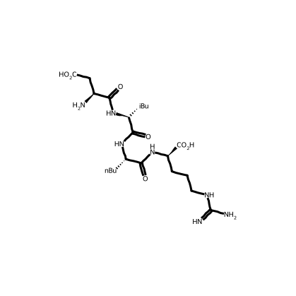 CCCC[C@H](NC(=O)[C@@H](NC(=O)[C@@H](N)CC(=O)O)[C@@H](C)CC)C(=O)N[C@H](CCCNC(=N)N)C(=O)O